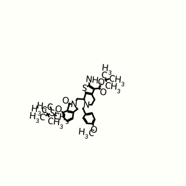 COc1ccc(CN2CCc3c(sc(N)c3C(=O)OC(C)(C)C)C2CN2Cc3cccc(O[Si](C)(C)C(C)(C)C)c3C2=O)cc1